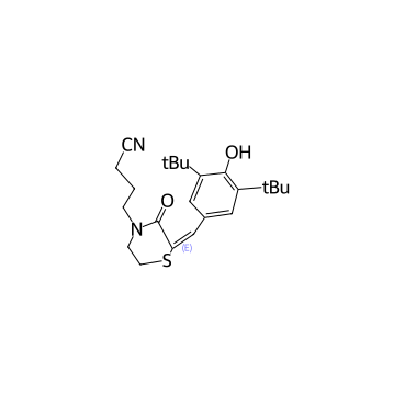 CC(C)(C)c1cc(/C=C2/SCCN(CCCC#N)C2=O)cc(C(C)(C)C)c1O